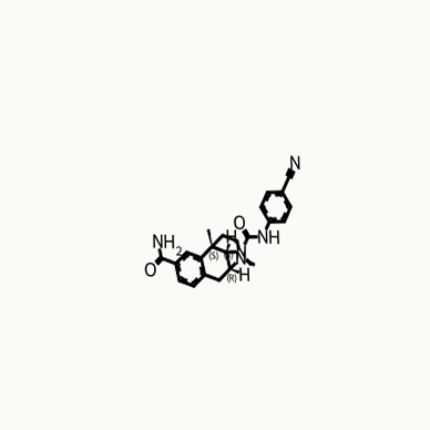 CN1CC[C@@]2(C)c3cc(C(N)=O)ccc3C[C@@H]1[C@H]2N(C)C(=O)Nc1ccc(C#N)cc1